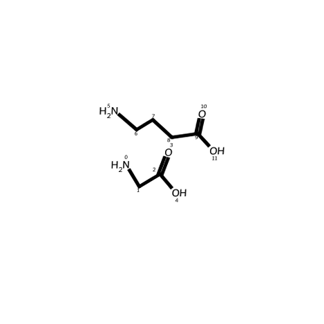 NCC(=O)O.NCCCC(=O)O